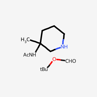 CC(=O)NC1(C)CCCNC1.CC(C)(C)OC=O